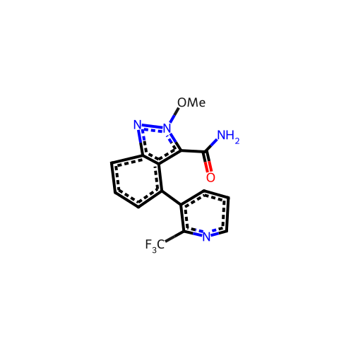 COn1nc2cccc(-c3cccnc3C(F)(F)F)c2c1C(N)=O